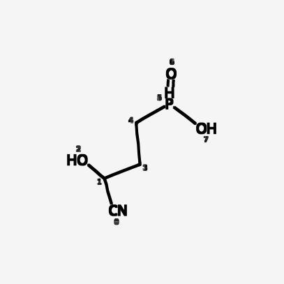 N#CC(O)CC[PH](=O)O